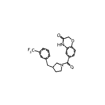 O=C1COc2ccc(C(=O)N3CCC(Cc4cccc(C(F)(F)F)c4)C3)cc2N1